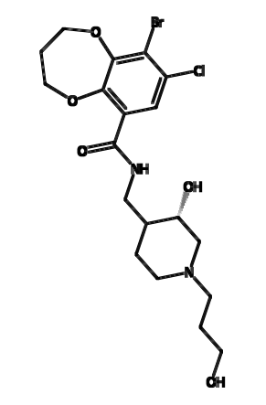 O=C(NCC1CCN(CCCO)C[C@H]1O)c1cc(Cl)c(Br)c2c1OCCCO2